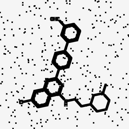 CN1CCCC(CCNc2nc(-c3ccc(-c4cccc(C=O)c4)cc3)nc3cc(Cl)ccc23)C1